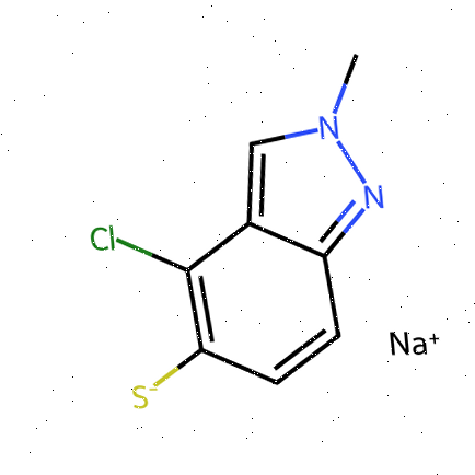 Cn1cc2c(Cl)c([S-])ccc2n1.[Na+]